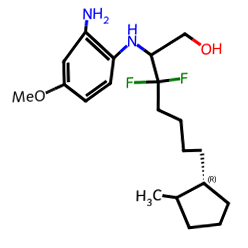 COc1ccc(NC(CO)C(F)(F)CCCC[C@@H]2CCCC2C)c(N)c1